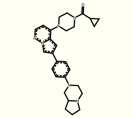 O=C(C1CC1)N1CCN(c2ccnn3cc(-c4ccc(N5CCN6CCCC6C5)cc4)cc23)CC1